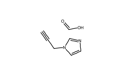 C#CCn1ccnc1.O=CO